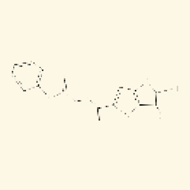 O=C(CNC(=O)c1cc2sc(Cl)c(Cl)c2[nH]1)Nc1ccccc1